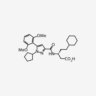 COc1cccc(OC)c1-c1cc(C(=O)N[C@@H](CCC2CCCCC2)CC(=O)O)nn1C1CCCC1